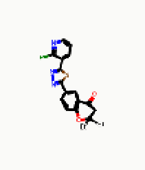 CCC1(CC)CC(=O)c2cc(-c3nnc(-c4cccnc4F)s3)ccc2O1